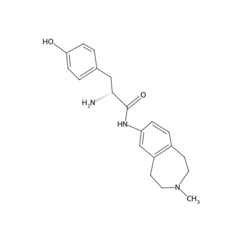 CN1CCc2ccc(NC(=O)[C@H](N)Cc3ccc(O)cc3)cc2CC1